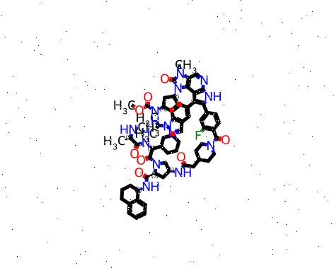 CN[C@@H](C)C(=O)N[C@H](C(=O)N1C[C@@H](NC(=O)CC2CCN(C(=O)c3ccc(-c4[nH]c5ncc6c(c5c4-c4ccc5c(cnn5C(C)C)c4)n([C@@H]4CC[C@@H](NC(=O)OC)C4)c(=O)n6C)cc3F)CC2)C[C@H]1C(=O)N[C@@H]1CCCc2ccccc21)C1CCCCC1